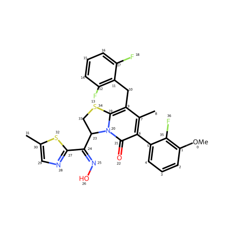 COc1cccc(-c2c(C)c(Cc3c(F)cccc3F)c3n(c2=O)C(C(=NO)c2ncc(C)s2)CS3)c1F